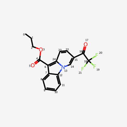 CCCOC(=O)c1c2ccccc2n2cc(C(=O)C(F)(F)F)ccc12